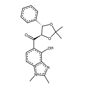 Cc1nc2c(O)c(C(=O)[C@@H]3OC(C)(C)O[C@H]3c3ccccc3)ccc2n1C